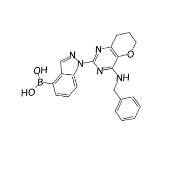 OB(O)c1cccc2c1cnn2-c1nc2c(c(NCc3ccccc3)n1)OCCC2